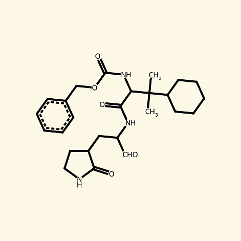 CC(C)(C1CCCCC1)C(NC(=O)OCc1ccccc1)C(=O)NC(C=O)CC1CCNC1=O